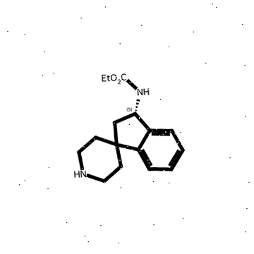 CCOC(=O)N[C@H]1CC2(CCNCC2)c2ccccc21